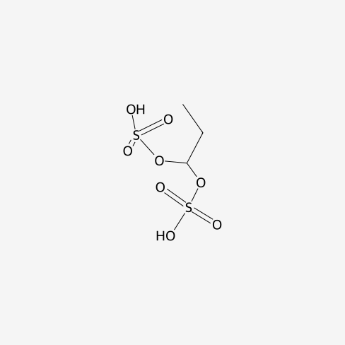 CCC(OS(=O)(=O)O)OS(=O)(=O)O